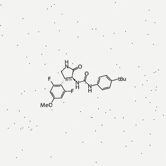 COc1cc(F)c([C@@H]2CNC(=O)[C@H]2NC(=O)Nc2ccc(C(C)(C)C)cc2)c(F)c1